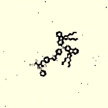 CCCCCCC1(CCCCCC)c2ccccc2-c2ccc(N(c3ccc(-c4ccc(-c5ccc(/C=C6\C(=O)N(c7ccccc7)N=C6C(=O)O)cc5)s4)cc3)c3ccc4c(c3)C(CCCCCC)(CCCCCC)c3ccccc3-4)cc21